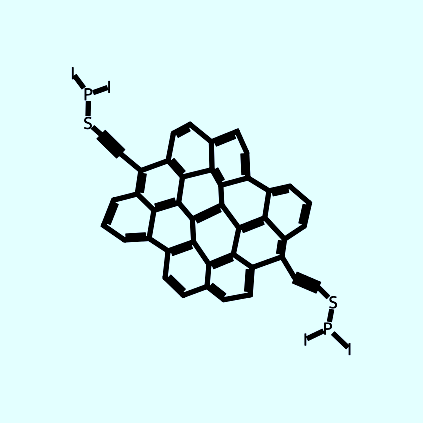 IP(I)SC#Cc1c2cccc3c4ccc5ccc6c(C#CSP(I)I)c7cccc8c9ccc%10ccc1c1c%10c9c9c(c78)c6c5c4c9c1c23